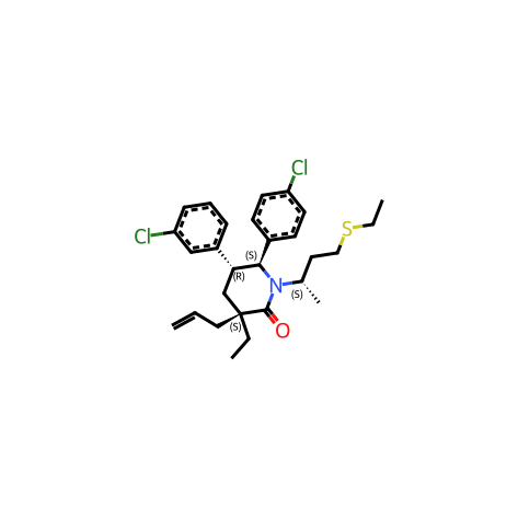 C=CC[C@@]1(CC)C[C@H](c2cccc(Cl)c2)[C@@H](c2ccc(Cl)cc2)N([C@@H](C)CCSCC)C1=O